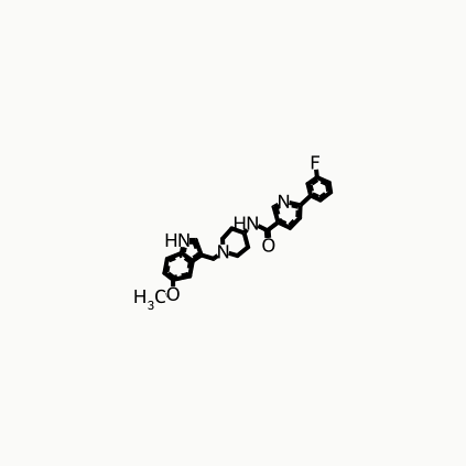 COc1ccc2[nH]cc(CN3CCC(NC(=O)c4ccc(-c5cccc(F)c5)nc4)CC3)c2c1